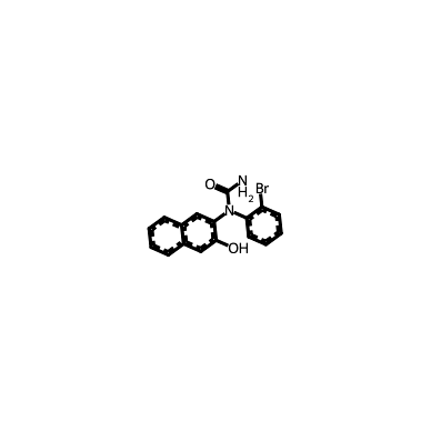 NC(=O)N(c1cc2ccccc2cc1O)c1ccccc1Br